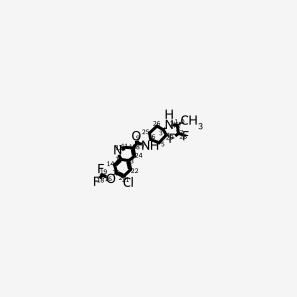 C[C@H](N[C@H]1CC[C@H](NC(=O)c2cnc3cc(OC(F)F)c(Cl)cc3c2)CC1)C(F)F